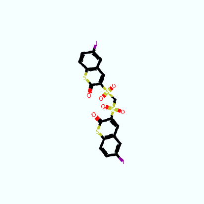 O=c1sc2ccc(I)cc2cc1S(=O)(=O)CS(=O)(=O)c1cc2cc(I)ccc2sc1=O